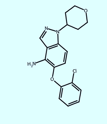 Nc1c(Oc2ccccc2Cl)ccc2c1cnn2C1CCOCC1